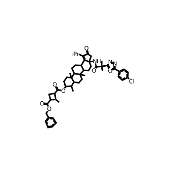 CC(C)C1=C2C3CCC4C(C)(CCC5C(C)C(OC(=O)C6CC(C(=O)OCc7ccccc7)C6C)CCC54C)C3CCC2(NC(=O)C(C)(C)c2nnc(-c3ccc(Cl)cc3)o2)CC1=O